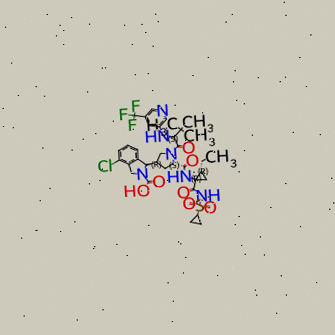 CC[C@@H]1C[C@]1(NC(=O)[C@@H]1C[C@@H](C2c3cccc(Cl)c3CN2C(=O)O)CN1C(=O)[C@@H](Nc1cncc(C(F)(F)F)c1)C(C)(C)C)C(=O)NS(=O)(=O)C1CC1